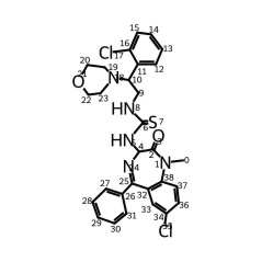 CN1C(=O)C(NC(=S)NCC(c2ccccc2Cl)N2CCOCC2)N=C(c2ccccc2)c2cc(Cl)ccc21